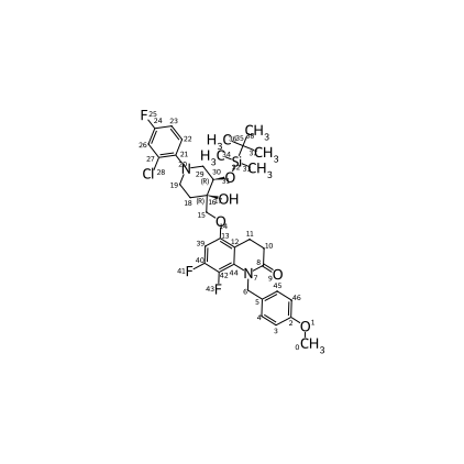 COc1ccc(CN2C(=O)CCc3c(OC[C@]4(O)CCN(c5ccc(F)cc5Cl)C[C@H]4O[Si](C)(C)C(C)(C)C)cc(F)c(F)c32)cc1